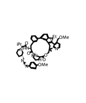 CCn1c(-c2cnccc2COC)c2c3cc(ccc31)-c1cccc(c1)C[C@H](NC(=O)[C@H](C(C)C)N1CCC[C@@H](CN=C=Nc3ccc(OC)cc3)C1)C(=O)N1CCC[C@H](N1)C(=O)OCC(C)(C)C2